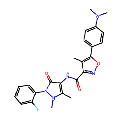 Cc1c(C(=O)Nc2c(C)n(C)n(-c3ccccc3F)c2=O)noc1-c1ccc(N(C)C)cc1